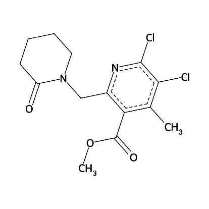 COC(=O)c1c(CN2CCCCC2=O)nc(Cl)c(Cl)c1C